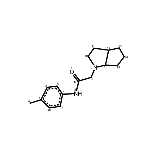 Cc1ccc(NC(=O)CN2CCC3CCCC32)cc1